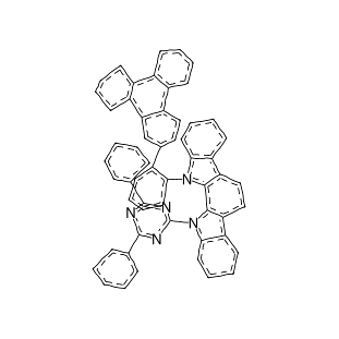 c1ccc(-c2nc(-c3ccccc3)nc(-n3c4ccccc4c4ccc5c6ccccc6n(-c6ccccc6-c6ccc7c8ccccc8c8ccccc8c7c6)c5c43)n2)cc1